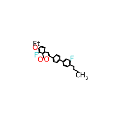 C=CCCc1ccc(-c2ccc(-c3cc4ccc(OCC)c(F)c4c(=O)o3)cc2)cc1F